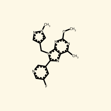 COc1nc(C)c2nc(-c3cncc(F)c3)n(Cc3cnn(C)c3)c2n1